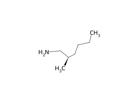 CCCC[C@@H](C)CN